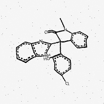 CN1C(=O)C(c2nc3ccccc3[nH]2)(c2ccc(Cl)cc2O)c2ccccc21